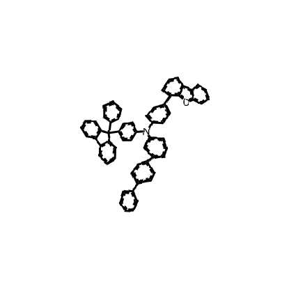 c1ccc(-c2ccc(-c3cccc(N(c4ccc(-c5cccc6c5oc5ccccc56)cc4)c4ccc(C5(c6ccccc6)c6ccccc6-c6ccccc65)cc4)c3)cc2)cc1